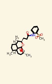 C[C@H]1[C@@H](CCC(=O)Nc2ccccc2S(C)(=O)=O)O[C@@H]2O[C@]3(C)CC[C@H]4[C@H](C)CC[C@@H]1[C@@]24OO3